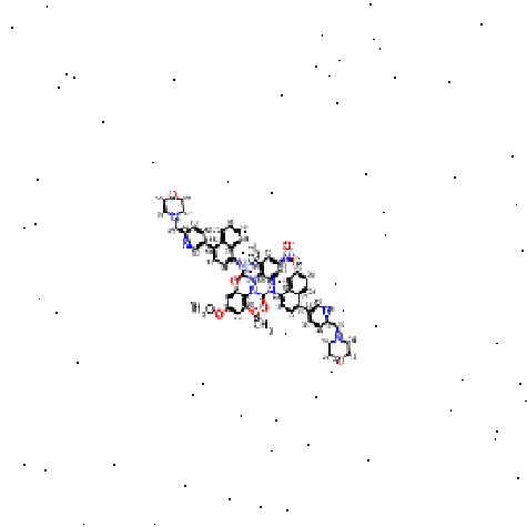 COc1ccc(N(C(=O)Nc2ccc(-c3ccc(CN4CCOCC4)nc3)c3ccccc23)N(C(=O)Nc2ccc(-c3ccc(CN4CCOCC4)nc3)c3ccccc23)c2ccc([N+](=O)[O-])cc2C)c(OC)c1